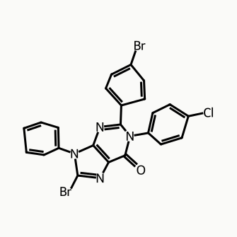 O=c1c2nc(Br)n(-c3ccccc3)c2nc(-c2ccc(Br)cc2)n1-c1ccc(Cl)cc1